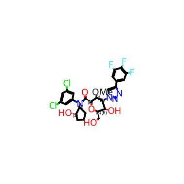 CO[C@@H]1[C@@H](n2cc(-c3cc(F)c(F)c(F)c3)nn2)[C@@H](O)[C@@H](CO)O[C@H]1C(=O)N(c1cc(Cl)cc(Cl)c1)[C@H]1CCC[C@@H]1O